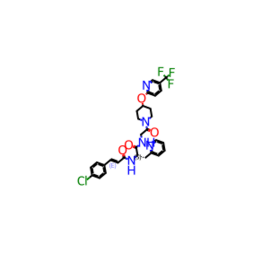 O=C(/C=C/c1ccc(Cl)cc1)N[C@@H](Cc1ccccn1)C(=O)NCC(=O)N1CCC(Oc2ccc(C(F)(F)F)cn2)CC1